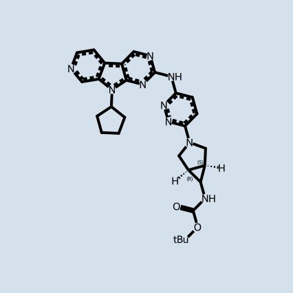 CC(C)(C)OC(=O)NC1[C@H]2CN(c3ccc(Nc4ncc5c6ccncc6n(C6CCCC6)c5n4)nn3)C[C@@H]12